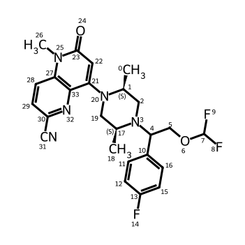 C[C@H]1CN(C(COC(F)F)c2ccc(F)cc2)[C@@H](C)CN1c1cc(=O)n(C)c2ccc(C#N)nc12